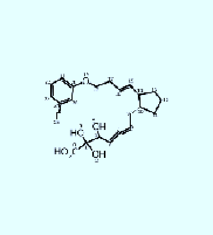 O=C(O)C(O)(O)C(O)C=C=CC[C@H]1CCC[C@@H]1/C=C/CCOc1cccc(F)c1